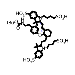 CC(C)(C)OC(=O)NCCc1ccc(OC2=C(CCC3=[N+](CCCCS(=O)(=O)O)c4ccc(S(=O)(=O)O)cc4C3(C)C)CCC/C2=C\C=C2\N(CCCCS(=O)(=O)O)c3ccc(S(=O)(=O)O)cc3C2(C)C)cc1